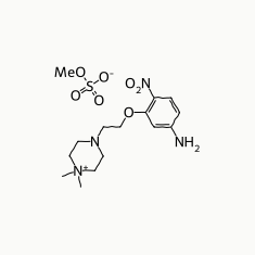 COS(=O)(=O)[O-].C[N+]1(C)CCN(CCOc2cc(N)ccc2[N+](=O)[O-])CC1